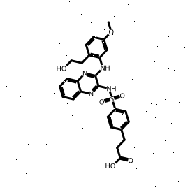 COc1ccc(CCO)c(Nc2nc3ccccc3nc2NS(=O)(=O)c2ccc(CCC(=O)O)cc2)c1